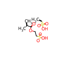 C=C(C)C(=O)OCCS(=O)(=O)O.C=CS(=O)(=O)O